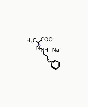 C/C(=N/NCCSc1ccccc1)C(=O)[O-].[Na+]